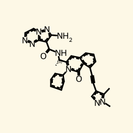 Cc1c(C#Cc2cccc3cc([C@H](C)NC(=O)c4c(N)nn5ccnnc45)n(-c4ccccc4)c(=O)c23)cnn1C